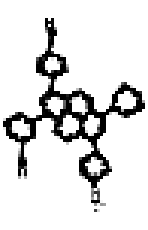 [C-]#[N+]c1ccc(-c2cc(-c3ccccc3)c3ccc4c(-c5ccc(C#N)cc5)cc(-c5cccc(C#N)c5)c5ccc2c3c45)cc1